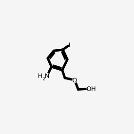 Nc1ccc(I)cc1COCO